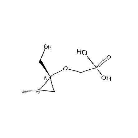 C[C@H]1C[C@@]1(CO)OCP(=O)(O)O